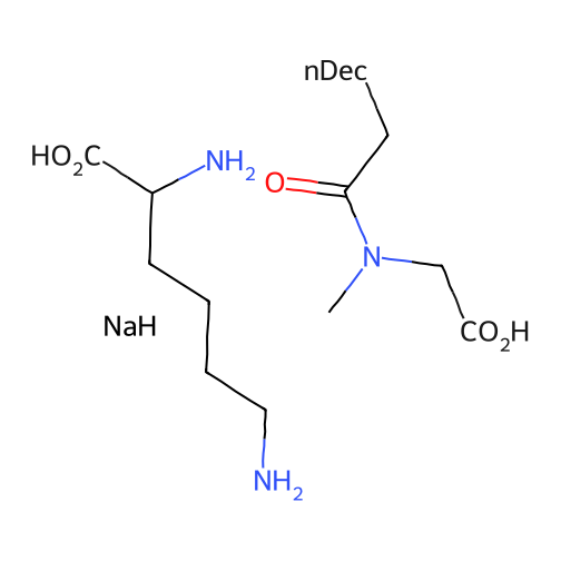 CCCCCCCCCCCC(=O)N(C)CC(=O)O.NCCCCC(N)C(=O)O.[NaH]